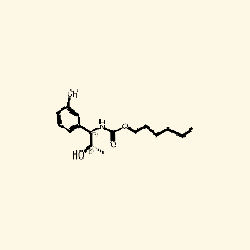 CCCCCCOC(=O)N[C@H](c1cccc(O)c1)[C@H](C)O